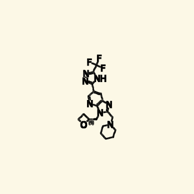 FC(F)(F)c1nnc(-c2cnc3c(c2)nc(CN2CCCCC2)n3C[C@@H]2CCO2)[nH]1